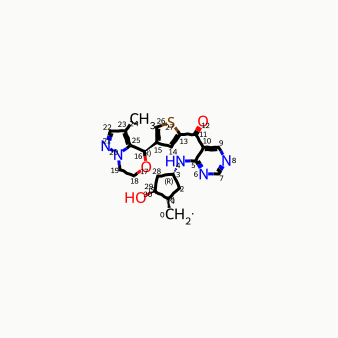 [CH2][C@@H]1C[C@@H](Nc2ncncc2C(=O)c2cc([C@H]3OCCn4ncc(C)c43)cs2)C[C@@H]1O